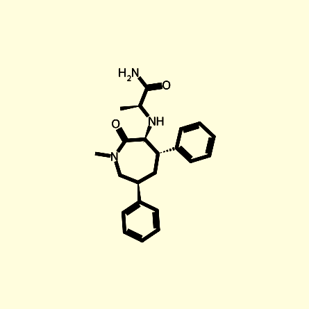 C[C@H](N[C@@H]1C(=O)N(C)C[C@H](c2ccccc2)C[C@H]1c1ccccc1)C(N)=O